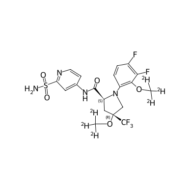 [2H]C([2H])([2H])Oc1c(N2C[C@@](OC([2H])([2H])[2H])(C(F)(F)F)C[C@H]2C(=O)Nc2ccnc(S(N)(=O)=O)c2)ccc(F)c1F